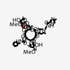 CON=C1C[C@@H](C)O[C@@H](O[C@@H]2[C@@H](C)[C@H](O[C@H]3CC(C)N(CCNC(=O)c4cnc(C)cn4)C[C@H](C)O3)[C@@H](C)C(=O)O[C@H]([C@@H](C)CO[C@@H]3O[C@H](C)[C@@H](O)[C@@H](OC)[C@H]3OC)[C@H](C)[C@@H](OC(=O)CC(C)C)[C@@H](C)C(=O)[C@@](C)(OC(=O)NCc3ccccc3)C[C@@H]2C)[C@@H]1O